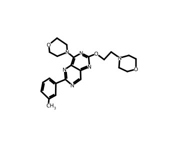 Cc1cccc(-c2ncc3nc(OCCN4CCOCC4)nc(N4CCOCC4)c3n2)c1